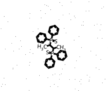 CC(C(C)P(=S)(c1ccccc1)c1ccccc1)P(=S)(c1ccccc1)c1ccccc1